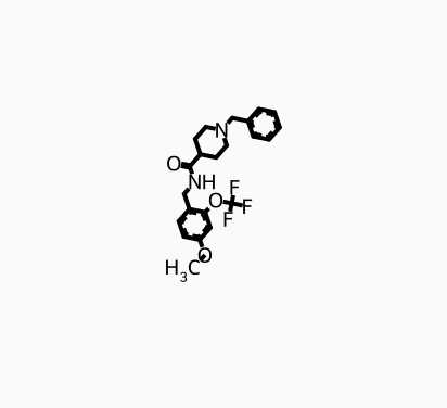 COc1ccc(CNC(=O)C2CCN(Cc3ccccc3)CC2)c(OC(F)(F)F)c1